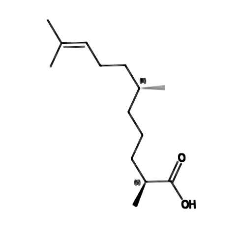 CC(C)=CCC[C@H](C)CCC[C@H](C)C(=O)O